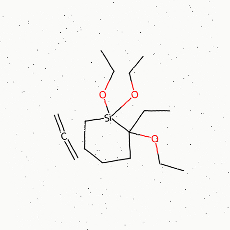 C=C=C.CCOC1(CC)CCCC[Si]1(OCC)OCC